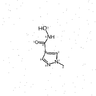 Cn1cc(C(=O)NO)cn1